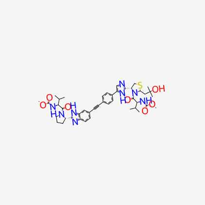 COC(=O)N[C@H](C(=O)N1CCC[C@H]1c1nc2ccc(C#Cc3ccc(-c4cnc([C@@H]5CSC(CC(C)(C)O)N5C(=O)[C@@H](NC(=O)OC)C(C)C)[nH]4)cc3)cc2[nH]1)C(C)C